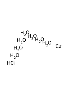 Cl.O.O.O.O.O.O.O.[Cu]